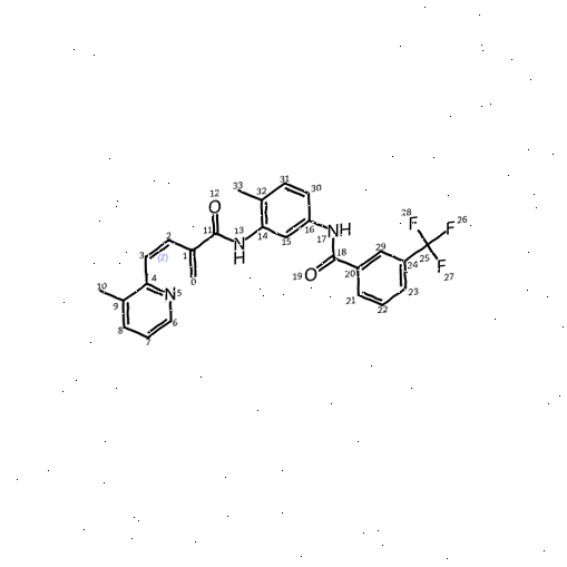 C=C(/C=C\c1ncccc1C)C(=O)Nc1cc(NC(=O)c2cccc(C(F)(F)F)c2)ccc1C